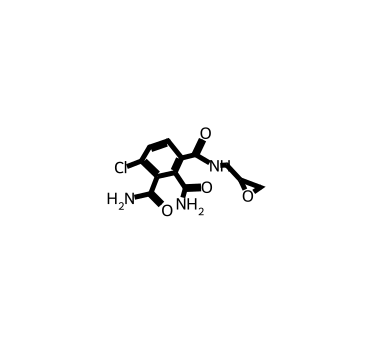 NC(=O)c1c(Cl)ccc(C(=O)NCC2CO2)c1C(N)=O